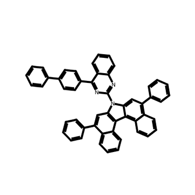 c1ccc(-c2ccc(-c3nc(-n4c5cc(-c6ccccc6)c6ccccc6c5c5c6ccccc6c(-c6ccccc6)cc54)nc4ccccc34)cc2)cc1